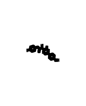 Cc1nc(-c2ccc(O)cc2)cnc1NC(=O)Cc1ccc(F)cc1